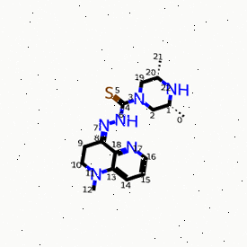 C[C@@H]1CN(C(=S)N/N=C2/CCN(C)c3cccnc32)C[C@H](C)N1